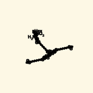 C=CC(=O)OCCCCCCCCCCCOc1ccc(OC(=O)c2ccc(C(=O)Oc3ccc(OCCCCCCCCCCCOC(=O)C=C)cc3)c(C(=O)OCCCCCCCCCCOC(=O)c3ccc(-c4cc([N+](=O)[O-])c(O[C@@H](C)CCCCCC)cc4N)cc3)c2)cc1